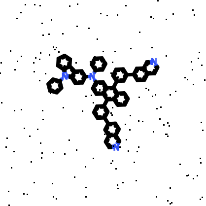 c1ccc(N(c2ccc3c(-c4cccc(-c5ccc6cnccc6c5)c4)c4ccccc4c(-c4cccc(-c5ccc6ccncc6c5)c4)c3c2)c2ccc3c(c2)c2ccccc2n3-c2ccccc2)cc1